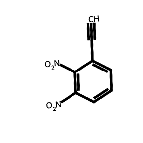 C#Cc1cccc([N+](=O)[O-])c1[N+](=O)[O-]